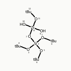 CC(C)(C)O[Si](OC(C)(C)C)(OC(C)(C)C)[O][Zr]([OH])([OH])[O]C(C)(C)C